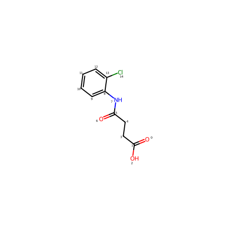 O=C(O)CCC(=O)Nc1ccccc1Cl